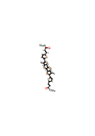 COC(=O)/C=C/c1ccc(-c2sc3c(sc4c5sc(-c6ccc(/C=C/C(=O)OC)s6)c(C)c5sc34)c2C)s1